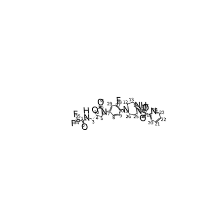 O=C(NC[C@H]1CN(c2ccc(N3CCNN(S(=O)(=O)c4ccccn4)CC3)c(F)c2)C(=O)O1)C(F)F